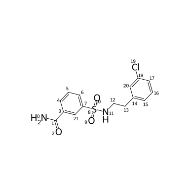 NC(=O)c1cccc(S(=O)(=O)NCCc2cccc(Cl)c2)c1